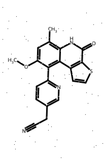 COc1cc(C)c2[nH]c(=O)c3sccc3c2c1-c1ccc(CC#N)cn1